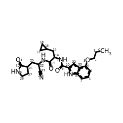 CCCOc1cccc2[nH]c(C(=O)NC(CC3CC3)C(=O)NC(C#N)CC3CCNC3=O)cc12